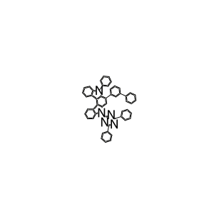 c1ccc(-c2cccc(-c3cc4c(c5ccccc5n4-c4nc(-c5ccccc5)nc(-c5ccccc5)n4)c4c5ccccc5n(-c5ccccc5)c34)c2)cc1